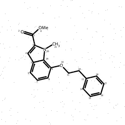 COC(=O)c1cc2cccc(OCCc3ccccc3)c2n1C